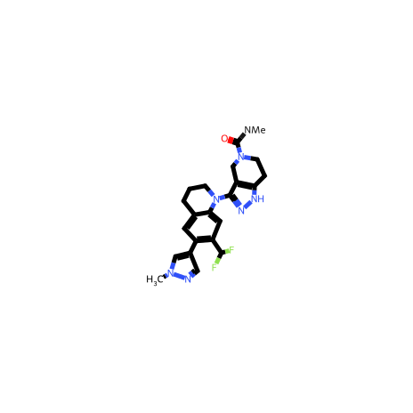 CNC(=O)N1CCc2[nH]nc(N3CCCc4cc(-c5cnn(C)c5)c(C(F)F)cc43)c2C1